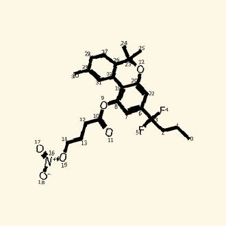 CCCC(F)(F)c1cc(OC(=O)CCCO[N+](=O)[O-])c2c(c1)OC(C)(C)C1CCC(C)=CC21